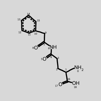 NC(CCC(=O)NC(=O)Cc1ccccc1)C(=O)O